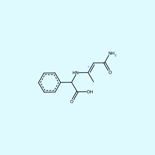 C/C(=C\C(N)=O)NC(C(=O)O)c1ccccc1